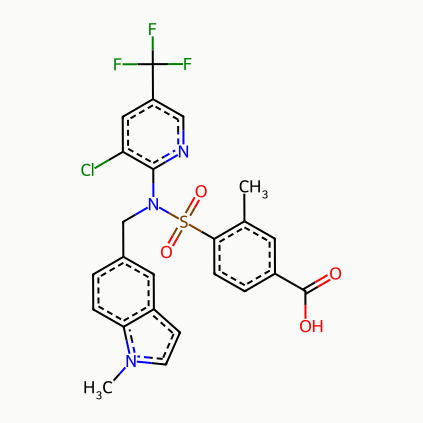 Cc1cc(C(=O)O)ccc1S(=O)(=O)N(Cc1ccc2c(ccn2C)c1)c1ncc(C(F)(F)F)cc1Cl